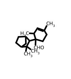 CC1=CC(C)C(C=O)(C2C3CCC(C3)C2(C)C)CC1